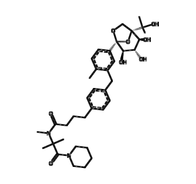 Cc1ccc([C@]23OC[C@](C(C)(C)O)(O2)[C@@H](O)[C@H](O)[C@H]3O)cc1Cc1ccc(CCCC(=O)N(C)C(C)(C)C(=O)N2CCCCC2)cc1